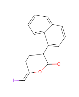 O=C1OC(=CI)CCC1c1cccc2ccccc12